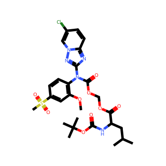 COc1cc(S(C)(=O)=O)ccc1N(C(=O)OCOC(=O)C(CC(C)C)NC(=O)OC(C)(C)C)c1nc2ccc(Cl)cn2n1